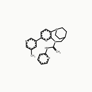 C=C(Nc1ccccn1)N1CC2CCN(CC2)c2ccc(-c3cncc(C)c3)nc21